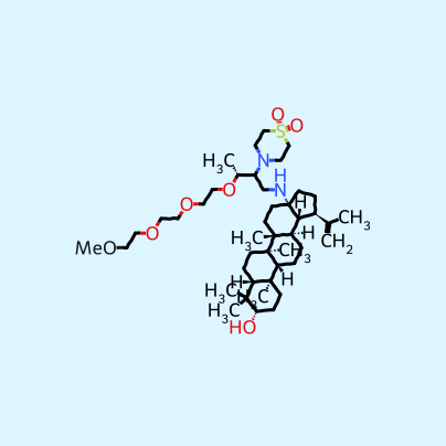 C=C(C)[C@@H]1CC[C@]2(NCC([C@@H](C)OCCOCCOCCOC)N3CCS(=O)(=O)CC3)CC[C@]3(C)[C@H](CC[C@@H]4[C@@]5(C)CC[C@H](O)C(C)(C)[C@@H]5CC[C@]43C)[C@@H]12